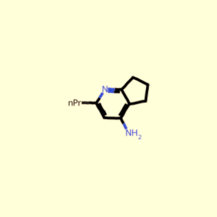 CCCc1cc(N)c2c(n1)CCC2